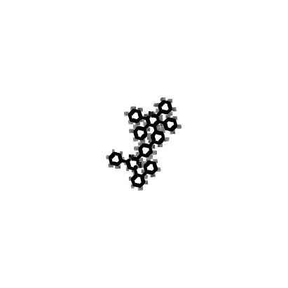 c1ccc(-c2cc(-c3ccccc3-c3ccccc3)nc(-c3ccc(-c4cccc(-c5c(-c6ccccc6)c(-c6ccccc6)nc(-c6ccccc6)c5-c5ccccc5)c4)cc3)n2)cc1